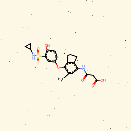 Cc1cc(NC(=O)CC(=O)O)c2c(c1Oc1ccc(O)c(S(=O)(=O)NC3CC3)c1)CCC2